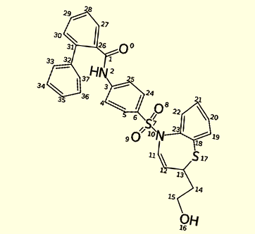 O=C(Nc1ccc(S(=O)(=O)N2C=CC(CCO)Sc3ccccc32)cc1)c1ccccc1-c1ccccc1